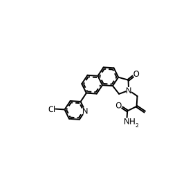 C=C(CN1Cc2c(ccc3ccc(-c4cc(Cl)ccn4)cc23)C1=O)C(N)=O